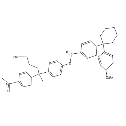 COC1C=CC(C2(C3C=C[C]([Co](=[O])[O]c4ccc(C(C)(CCCO)c5cc[c]([Co]([CH3])=[O])cc5)cc4)=CC3)CCCCC2)=CC1